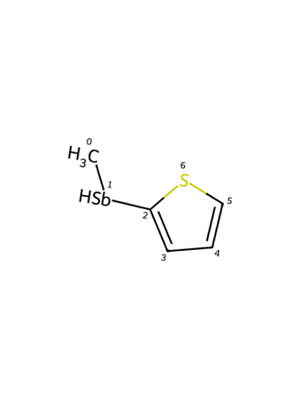 [CH3][SbH][c]1cccs1